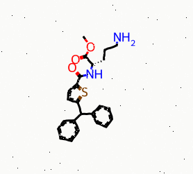 COC(=O)[C@H](CCCN)NC(=O)c1ccc(C(c2ccccc2)c2ccccc2)s1